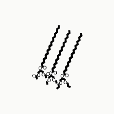 CCCCCCCCCC=CC=CC=CC=CC=CC(=O)OC(COC(C)=O)COC(C)=O.CCCCCCCCCC=CC=CC=CC=CC=CC(=O)OC(COCC)COCC.CCCCCCCCCC=CC=CC=CC=CC=CC(=O)OC(COCCC)COCCC